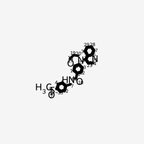 C[S+]([O-])c1ccc(CNC(=O)c2ccc3c(c2)OCCCN3c2ccnc3ccccc23)cc1